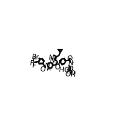 C[C@@H]1Cc2c(n3ncc(CC4CC4)c3n(-c3ccc(C(=O)N(C)COP(=O)(O)O)cc3)c2=O)CN1C(=O)c1ccc(Br)c(C(F)(F)F)c1